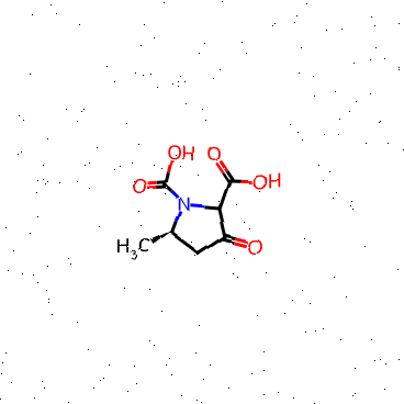 C[C@@H]1CC(=O)C(C(=O)O)N1C(=O)O